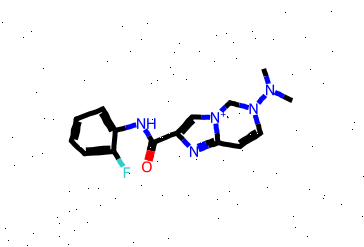 CN(C)N1C=CC2=NC(C(=O)Nc3ccccc3F)=C[N+]2C1